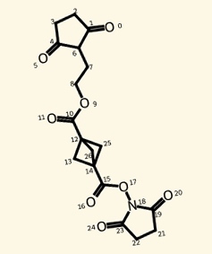 O=C1CCC(=O)C1CCOC(=O)C12CC(C(=O)ON3C(=O)CCC3=O)(C1)C2